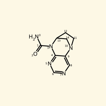 NC(=O)N1c2ncncc2N2CCC1C2